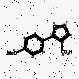 COc1ccc(-c2oncc2C(=O)O)cc1